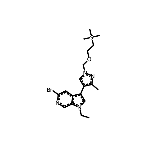 CCn1cc(-c2cn(COCCS(C)(C)C)nc2C)c2cc(Br)ncc21